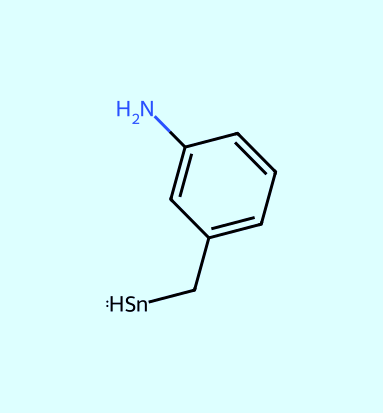 Nc1cccc([CH2][SnH])c1